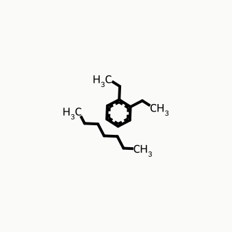 CCCCCCC.CCc1ccccc1CC